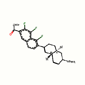 CCCCCC1CC[C@@H]2CC(c3ccc4cc(C(=O)OC)c(F)c(F)c4c3F)CC[C@H]2C1